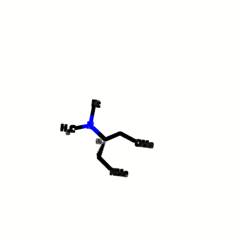 CCN(C)[C@@H](CNC)COC